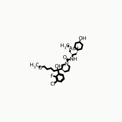 COCCCC[C@@](O)(c1cccc(Cl)c1F)[C@@H]1CCCN(C(=O)N[C@H](C[AsH]C)C[C@H]2CC[C@H](O)CC2)C1